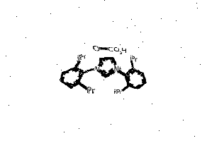 CC(C)c1cccc(C(C)C)c1-n1cc[n+](-c2c(C(C)C)cccc2C(C)C)c1.O=C([O-])O